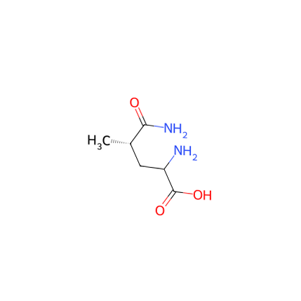 C[C@@H](CC(N)C(=O)O)C(N)=O